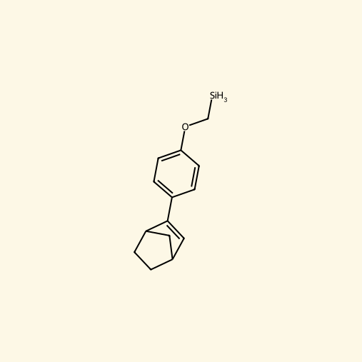 [SiH3]COc1ccc(C2=CC3CCC2C3)cc1